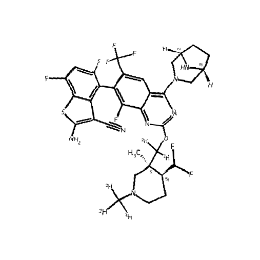 [2H]C([2H])([2H])N1CC[C@H](C(F)F)[C@](C)(C([2H])([2H])Oc2nc(N3C[C@H]4CC[C@@H](C3)N4)c3cc(C(F)(F)F)c(-c4c(F)cc(F)c5sc(N)c(C#N)c45)c(F)c3n2)C1